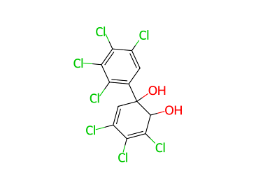 OC1C(Cl)=C(Cl)C(Cl)=CC1(O)c1cc(Cl)c(Cl)c(Cl)c1Cl